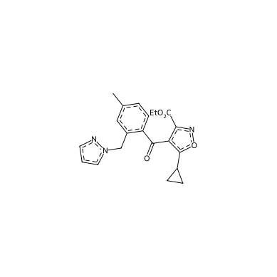 CCOC(=O)c1noc(C2CC2)c1C(=O)c1ccc(C)cc1Cn1cccn1